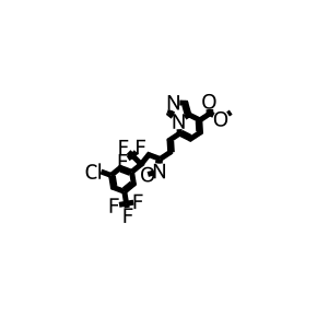 COC(=O)c1ccc(C=CC2=NOC(c3cc(Cl)cc(C(F)(F)F)c3)(C(F)(F)F)C2)n2cncc12